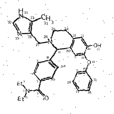 CCN(CC)C(=O)c1ccc(C2c3cc(Oc4ccccc4)c(O)cc3CCN2Cc2nc[nH]c2C)cc1